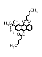 CCCCC(=O)Oc1c2ccccc2c(OC(=O)CCCC)c2cc(C(C)(C)C)ccc12